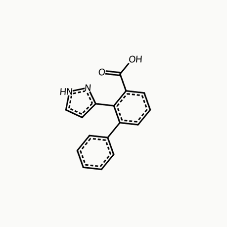 O=C(O)c1cccc(-c2ccccc2)c1-c1cc[nH]n1